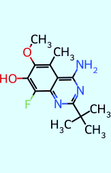 COc1c(O)c(F)c2nc(C(C)(C)C)nc(N)c2c1C